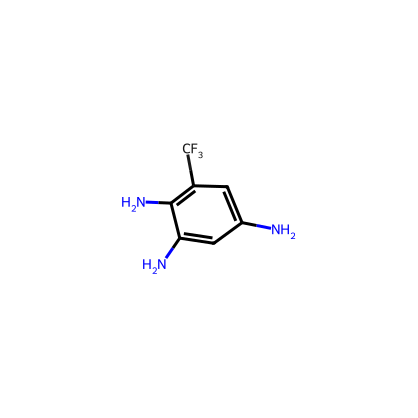 Nc1cc(N)c(N)c(C(F)(F)F)c1